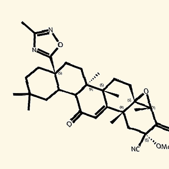 CO[C@]1(C#N)C[C@]2(C)C3=CC(=O)C4C5CC(C)(C)CC[C@]5(c5nc(C)no5)CC[C@@]4(C)[C@]3(C)CC[C@]23O[C@]3(C)C1=O